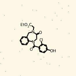 CCOC(=O)CN1Cc2ccccc2N(C(=O)c2ccc(O)cc2Cl)CC1=O